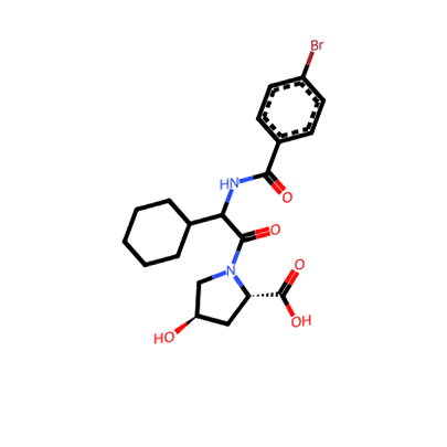 O=C(NC(C(=O)N1C[C@H](O)C[C@H]1C(=O)O)C1CCCCC1)c1ccc(Br)cc1